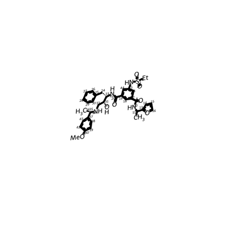 CCS(=O)(=O)Nc1cc(C(=O)NC(C)c2ccco2)cc(C(=O)N[C@@H](Cc2ccccc2)[C@H](O)CN[C@H](C)c2ccc(OC)cc2)c1